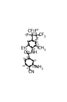 CCc1cc(C(F)(C(F)(F)F)C(F)(F)C(F)(F)F)cc(C)c1NC(=O)c1ccc(C#N)c(N)c1